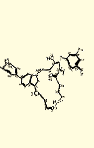 C=CCO[C@@H]1C[C@H](NC[C@@H](O)[C@H](Cc2cc(F)cc(F)c2)NC(=O)CCCC)c2cc(-c3cn[nH]c3)ccc21